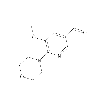 COc1cc(C=O)cnc1N1CCOCC1